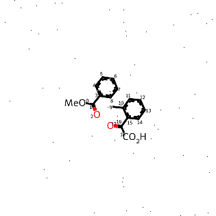 COC(=O)c1ccccc1.Cc1ccccc1C(=O)C(=O)O